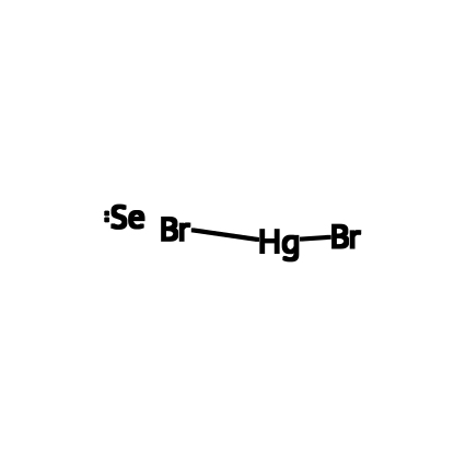 [Br][Hg][Br].[Se]